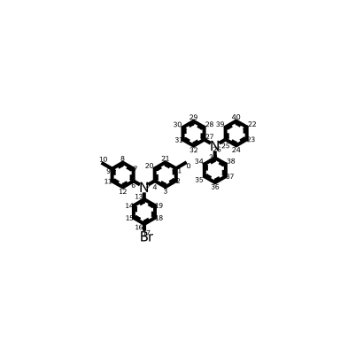 Cc1ccc(N(c2ccc(C)cc2)c2ccc(Br)cc2)cc1.c1ccc(N(c2ccccc2)c2ccccc2)cc1